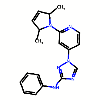 CC1C=CC(C)N1c1cc(-n2cnc(Nc3ccccc3)n2)ccn1